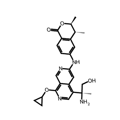 C[C@@H]1OC(=O)c2ccc(Nc3cc4c([C@](C)(N)CO)cnc(OC5CC5)c4cn3)cc2[C@H]1C